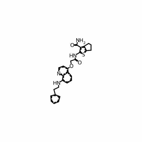 NC(=O)c1c(NC(=O)COc2ccnc3c(NCCc4ccccc4)cccc23)sc2c1CCC2